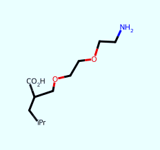 CC(C)CC(COCCOCCN)C(=O)O